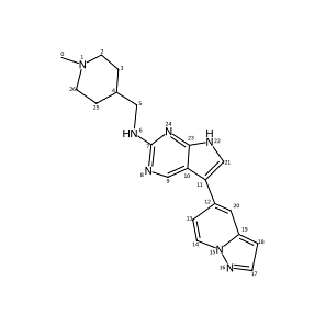 CN1CCC(CNc2ncc3c(-c4ccn5nccc5c4)c[nH]c3n2)CC1